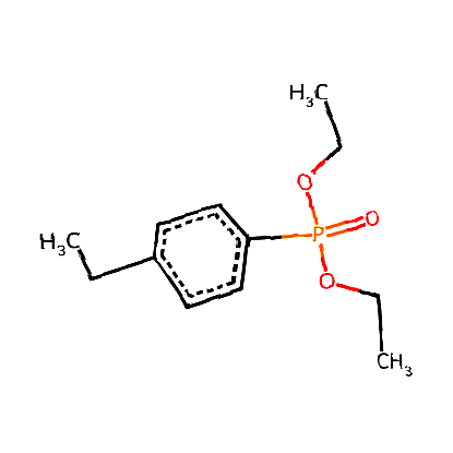 CCOP(=O)(OCC)c1ccc(CC)cc1